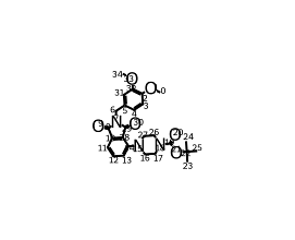 COc1ccc(CN2C(=O)c3cccc(N4CCN(C(=O)OC(C)(C)C)CC4)c3C2=O)cc1OC